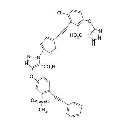 CS(=O)(=O)c1cc(Oc2nnn(-c3ccc(C#Cc4cc(Oc5nn[nH]c5C(=O)O)ccc4Cl)cc3)c2C(=O)O)ccc1C#Cc1ccccc1